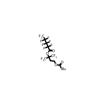 CCC(C)C(=O)OCCC(OC(=O)C(F)(F)C(F)(F)C(F)(F)C(F)(F)F)(C(F)(F)F)C(F)(F)F